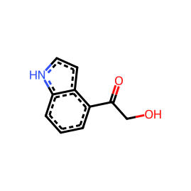 O=C(CO)c1cccc2[nH]ccc12